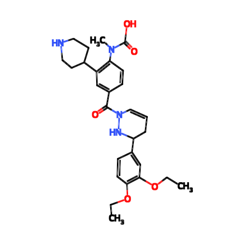 CCOc1ccc(C2CC=CN(C(=O)c3ccc(N(C)C(=O)O)c(C4CCNCC4)c3)N2)cc1OCC